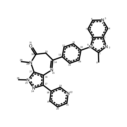 Cc1nc2cnccc2n1-c1ccc(C2=Nc3c(-c4cccnc4)nn(C)c3N(C)C(=O)C2)cc1